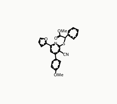 COC(=O)C(Sc1nc(-c2ccco2)cc(-c2ccc(OC)cc2)c1C#N)c1ccccc1